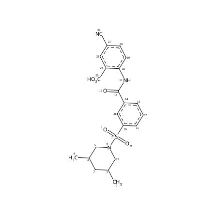 CC1CC(C)CN(S(=O)(=O)c2cccc(C(=O)Nc3ccc(C#N)cc3C(=O)O)c2)C1